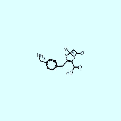 NCc1ccc(CC2=C(C(=O)O)N3C(=O)C[C@H]3S2)cc1